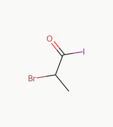 CC(Br)C(=O)I